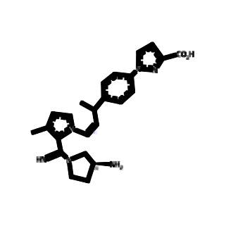 Cc1ccn(/C=C\C(C)c2ccc(-n3ccc(C(=O)O)n3)cc2)c1C(=N)N1CC[C@H](N)C1